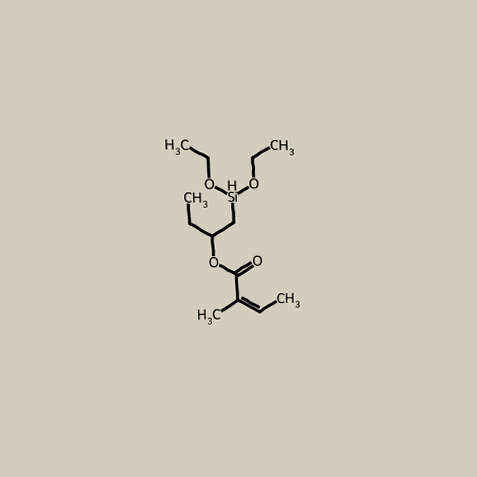 CC=C(C)C(=O)OC(CC)C[SiH](OCC)OCC